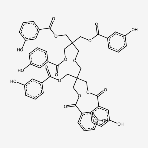 O=C(OCC(COCC(COC(=O)c1cccc(O)c1)(COC(=O)c1cccc(O)c1)COC(=O)c1cccc(O)c1)(COC(=O)c1cccc(O)c1)COC(=O)c1cccc(O)c1)c1cccc(O)c1